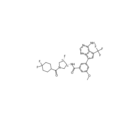 COc1cc(C(=O)N[C@@H]2CN(C(=O)C3CCC(F)(F)CC3)C[C@@H]2F)cc(-c2cc(C(F)(F)F)c3c(N)ncnn23)c1